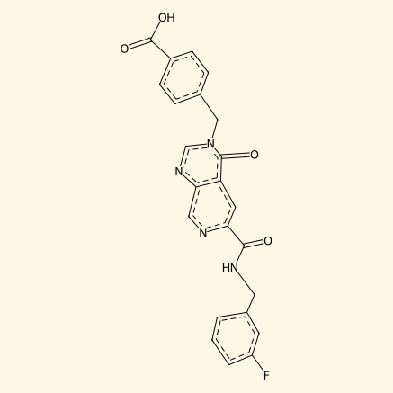 O=C(O)c1ccc(Cn2cnc3cnc(C(=O)NCc4cccc(F)c4)cc3c2=O)cc1